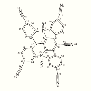 N#Cc1cccc(P2(=S)c3cc(C#N)ccc3N3c4ccc(C#N)cc4P(=S)(c4cccc(C#N)c4)c4cc(C#N)cc2c43)c1